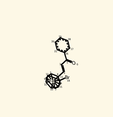 O=C(C=C[C]12[CH]3[CH]4[CH]5[CH]1[Fe]45321678[CH]2[CH]1[CH]6[C]7(Br)[CH]28)c1ccccc1